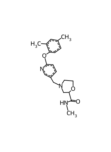 CNC(=O)C1CN(Cc2ccc(Oc3ccc(C)cc3C)nc2)CCO1